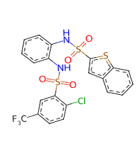 O=S(=O)(Nc1ccccc1NS(=O)(=O)c1cc(C(F)(F)F)ccc1Cl)c1cc2ccccc2s1